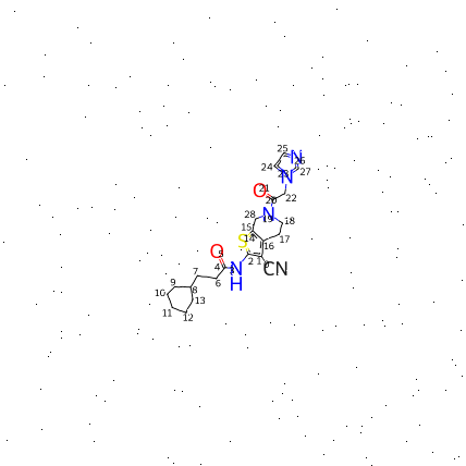 N#Cc1c(NC(=O)CCC2CCCCC2)sc2c1CCN(C(=O)Cn1ccnc1)C2